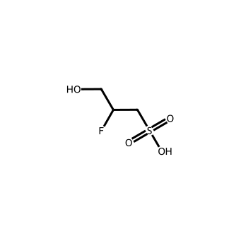 O=S(=O)(O)CC(F)CO